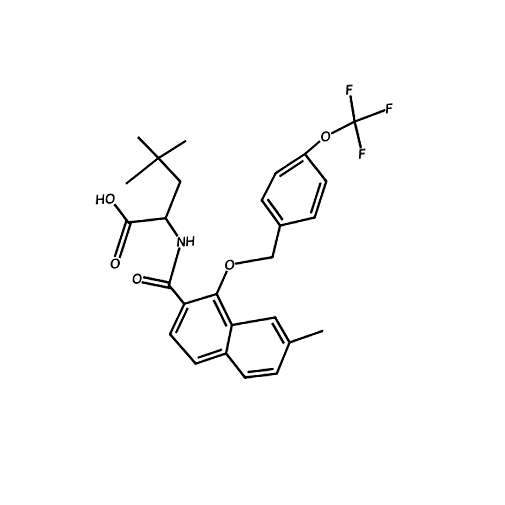 Cc1ccc2ccc(C(=O)NC(CC(C)(C)C)C(=O)O)c(OCc3ccc(OC(F)(F)F)cc3)c2c1